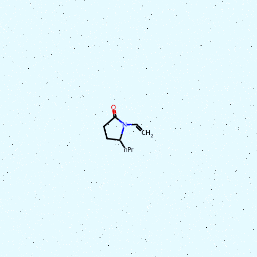 C=CN1C(=O)CCC1CCC